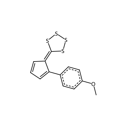 COc1ccc(C2=CC=CC2=C2SSSS2)cc1